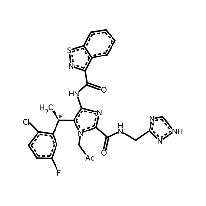 CC(=O)Cn1c(C(=O)NCc2nc[nH]n2)nc(NC(=O)c2nsc3ccccc23)c1[C@H](C)c1cc(F)ccc1Cl